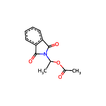 CC(=O)OC(C)N1C(=O)c2ccccc2C1=O